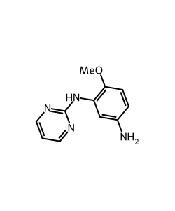 COc1ccc(N)cc1Nc1ncccn1